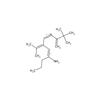 C=C(/N=C\C(/C=C(/N)CCC)=C(C)C)C(C)(C)C